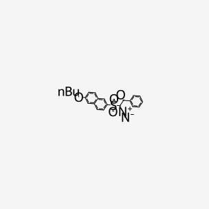 CCCCOc1ccc2cc(S(=O)(=O)C(=[N+]=[N-])C(=O)c3ccccc3)ccc2c1